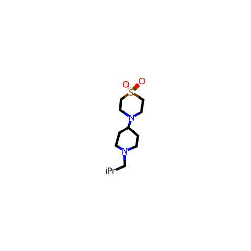 CC(C)CN1CCC(N2CCS(=O)(=O)CC2)CC1